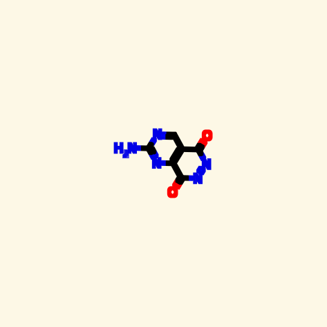 Nc1ncc2c(n1)C(=O)N=NC2=O